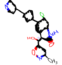 Cc1cc(/C(O)=C2\C(=O)Nc3cc(Cl)c(-c4ccc(-c5ccncc5)cc4)cc32)on1